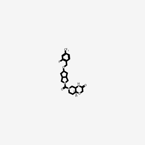 O=C1CO[C@H]2CCN(C(=O)N3CC4CC(OCc5ccc(C(F)(F)F)cc5F)CC4C3)CC2N1